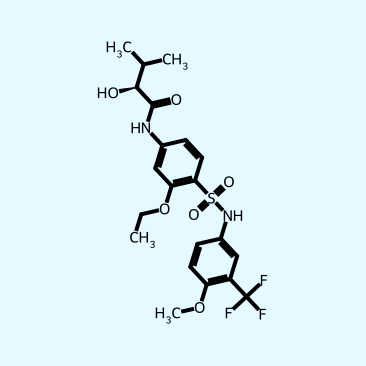 CCOc1cc(NC(=O)[C@@H](O)C(C)C)ccc1S(=O)(=O)Nc1ccc(OC)c(C(F)(F)F)c1